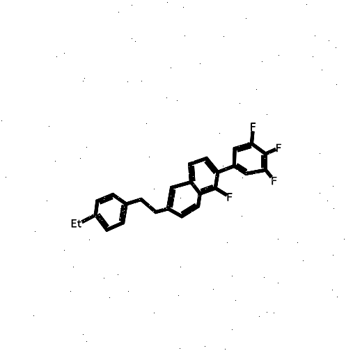 CCc1ccc(CCc2ccc3c(F)c(-c4cc(F)c(F)c(F)c4)ccc3c2)cc1